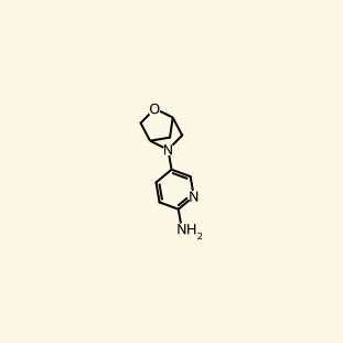 Nc1ccc(N2CC3CC2CO3)cn1